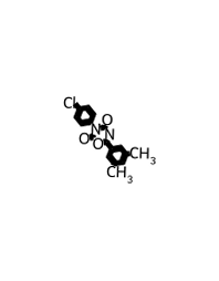 Cc1cc(C)cc(-c2nc(=O)n(-c3ccc(Cl)cc3)c(=O)o2)c1